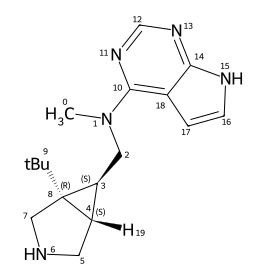 CN(C[C@H]1[C@@H]2CNC[C@]21C(C)(C)C)c1ncnc2[nH]ccc12